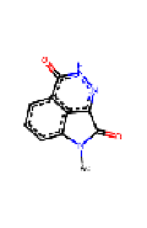 CC(=O)N1C(=O)c2n[nH]c(=O)c3cccc1c23